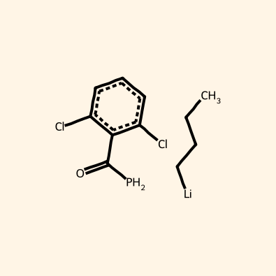 O=C(P)c1c(Cl)cccc1Cl.[Li][CH2]CCC